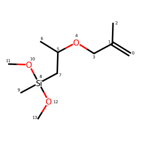 C=C(C)COC(C)C[Si](C)(OC)OC